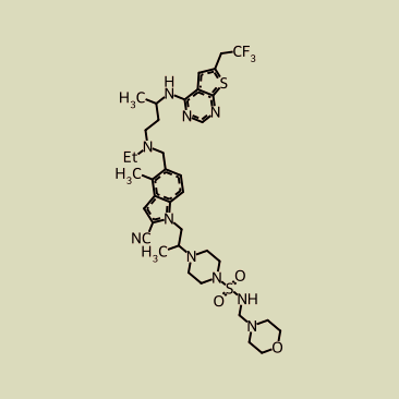 CCN(CCC(C)Nc1ncnc2sc(CC(F)(F)F)cc12)Cc1ccc2c(cc(C#N)n2CC(C)N2CCN(S(=O)(=O)NCN3CCOCC3)CC2)c1C